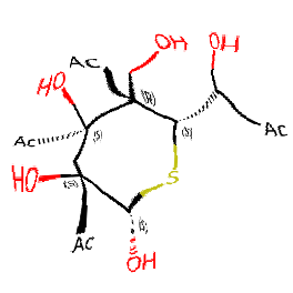 CC(=O)C(O)[C@@H]1S[C@H](O)[C@@](O)(C(C)=O)[C@](O)(C(C)=O)[C@@]1(O)C(C)=O